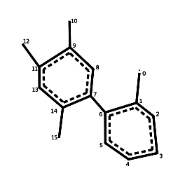 [CH2]c1ccccc1-c1cc(C)c(C)cc1C